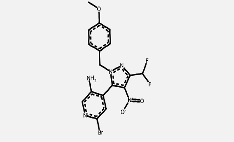 COc1ccc(Cn2nc(C(F)F)c([N+](=O)[O-])c2-c2cc(Br)ncc2N)cc1